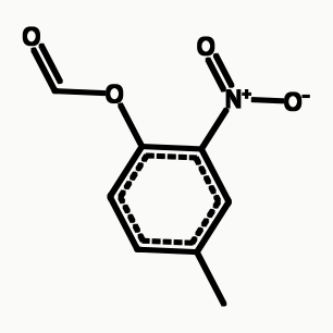 Cc1ccc(OC=O)c([N+](=O)[O-])c1